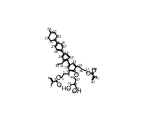 C=C(C)C(=O)OCCCc1cc(-c2ccc(-c3ccc(C4CCC(C)CC4)cc3)cc2CC)cc(CCCOC(=O)C(=C)C)c1OCCC(CO)CO